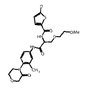 COCCOCC(NC(=O)c1ccc(Cl)s1)C(=O)Nc1ccc(N2CCOCC2=O)c(C)c1